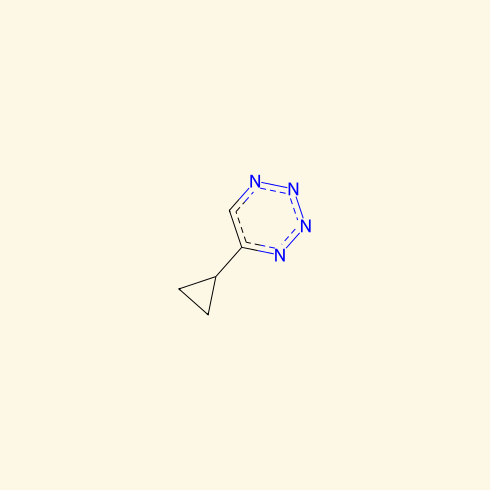 c1nnnnc1C1CC1